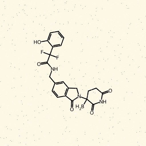 BC1(N2Cc3cc(CNC(=O)C(F)(F)c4ccccc4O)ccc3C2=O)CCC(=O)NC1=O